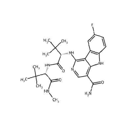 CNC(=O)[C@@H](NC(=O)[C@@H](Nc1ncc(C(N)=O)c2[nH]c3ccc(F)cc3c12)C(C)(C)C)C(C)(C)C